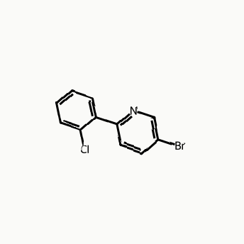 Clc1ccccc1-c1ccc(Br)cn1